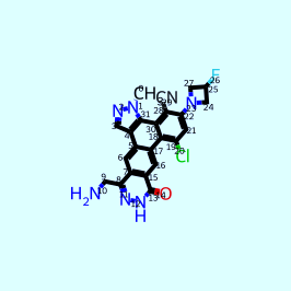 Cn1ncc2c3cc4c(CN)n[nH]c(=O)c4cc3c3c(Cl)cc(N4CC(F)C4)c(C#N)c3c21